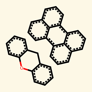 c1cc2cccc3c4cccc5cccc(c(c1)c23)c54.c1ccc2c(c1)Cc1ccccc1O2